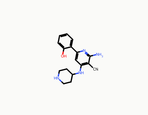 N#Cc1c(NC2CCNCC2)cc(-c2ccccc2O)nc1N